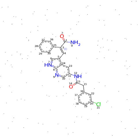 NC(=O)/C(=C/c1c[nH]c2ncc(NC(=O)Cc3cccc(Cl)c3)cc12)c1ccccc1